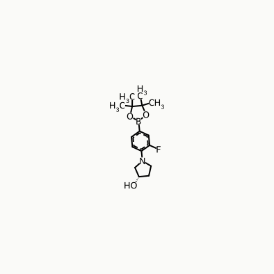 CC1(C)OB(c2ccc(N3CC[C@H](O)C3)c(F)c2)OC1(C)C